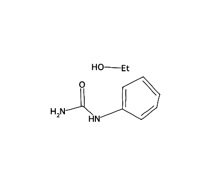 CCO.NC(=O)Nc1ccccc1